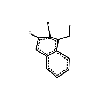 [CH2]Cc1c(F)c(F)cc2ccccc12